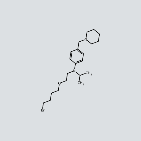 CC(C)N(CCOCCCCBr)c1ccc(CN2CCCCC2)cc1